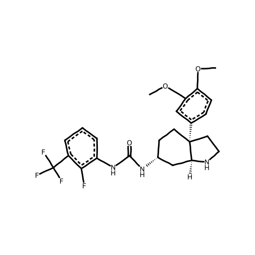 COc1ccc([C@]23CCN[C@H]2C[C@H](NC(=O)Nc2cccc(C(F)(F)F)c2F)CC3)cc1OC